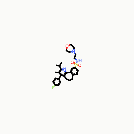 Cc1c(C(C)C)nc2c(c1-c1ccc(F)cc1)CCCc1ccc(S(=O)(=O)NCCN3CCOCC3)cc1-2